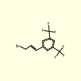 FC(F)(F)c1cc(/C=C/CBr)cc(C(F)(F)F)c1